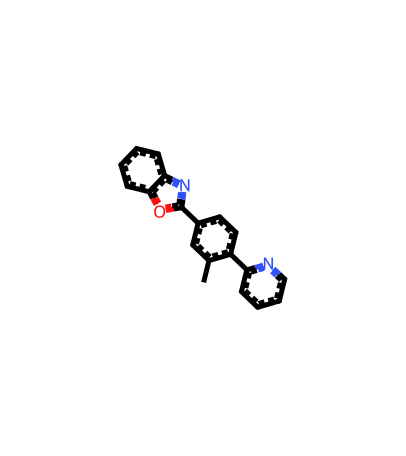 Cc1cc(-c2nc3ccccc3o2)ccc1-c1ccccn1